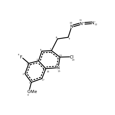 COc1cc(F)c2cc(CCN=[N+]=[N-])c(Cl)nc2c1